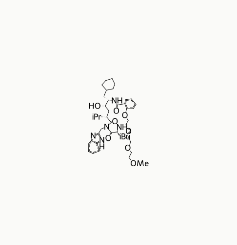 CCC(C)[C@H](N)C(=O)N(Cc1nc2ccccc2[nH]1)C(=O)[C@@H](C[C@H](O)[C@H](CC1CCCCC1)NC(=O)c1ccccc1OCCOCCOCCOC)C(C)C